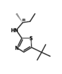 CC[C@@H](C)Nc1ncc(C(C)(C)C)s1